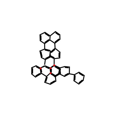 c1ccc(-c2ccc(N(c3ccc(-c4cccc5cccc(-c6ccc(N(c7ccccc7)c7ccccc7)cc6)c45)cc3)c3cccc4ccccc34)cc2)cc1